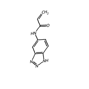 C=CC(=O)Nc1ccc2[nH]nnc2c1